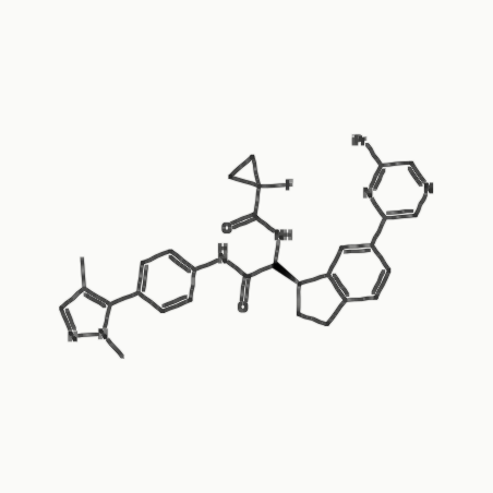 Cc1cnn(C)c1-c1ccc(NC(=O)C(NC(=O)C2(F)CC2)[C@@H]2CCc3ccc(-c4cncc(C(C)C)n4)cc32)cc1